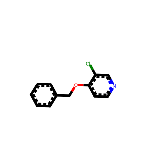 Clc1cn[c]cc1OCc1ccccc1